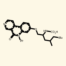 CC(CC(COc1ccc2c3ccncc3c(=O)n(C(C)C)c2c1)NC(=O)O)CC(C)(C)C